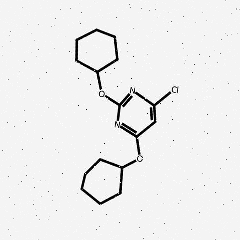 Clc1cc(OC2CCCCC2)nc(OC2CCCCC2)n1